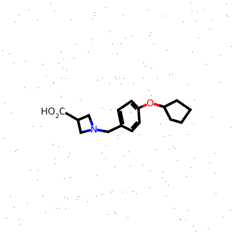 O=C(O)C1CN(Cc2ccc(OC3CCCC3)cc2)C1